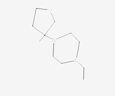 CCN1CCN(C2(C)CCOC2)CC1